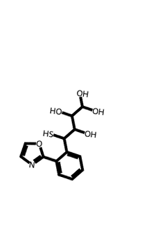 OC(O)C(O)C(O)C(S)c1ccccc1-c1ncco1